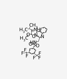 COC(=O)[C@@H](Nc1nc(CNS(=O)(=O)c2cc(C(F)(F)F)cc(C(F)(F)F)c2)nc2ccccc12)C(C)C